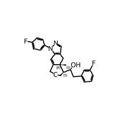 C[C@]12Cc3cnn(-c4ccc(F)cc4)c3C=C1CCC[C@@H]2[C@@H](O)Cc1cccc(F)c1